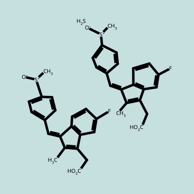 CC1=C(CC(=O)O)c2cc(F)ccc2/C1=C\c1ccc([S+](C)[O-])cc1.CC1=C(CC(=O)O)c2cc(F)ccc2/C1=C\c1ccc([S+](C)[O-])cc1.S